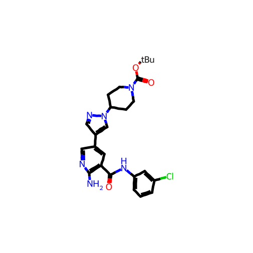 CC(C)(C)OC(=O)N1CCC(n2cc(-c3cnc(N)c(C(=O)Nc4cccc(Cl)c4)c3)cn2)CC1